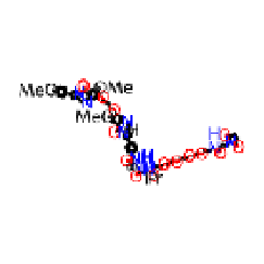 COc1ccc(C2=CN3C(=O)c4cc(OC)c(OCCCOc5cc6c(cc5OC)C(=O)N5C=C(c7ccc(NC(=O)[C@H](C)NC(=O)C(NC(=O)CCOCCOCCOCCOCCNC(=O)CCN8C(=O)C=CC8=O)C(C)C)cc7)C[C@H]5C=N6)cc4N=CC3C2)cc1